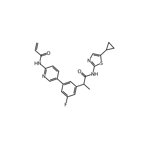 C=CC(=O)Nc1ccc(-c2cc(F)cc(C(C)C(=O)Nc3ncc(C4CC4)s3)c2)cn1